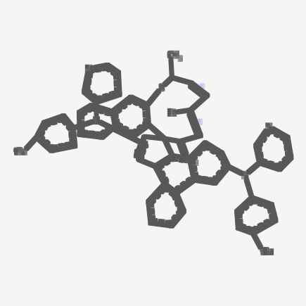 C=C1/C=C(CC)/C=C\C(C)Sc2cc3ccccc3cc2C12c1cc(N(c3ccc(C(C)(C)C)cc3)c3cccnc3)ccc1-c1c2c2ccc(N(c3ccc(C(C)(C)C)cc3)c3cccnc3)cc2c2ccccc12